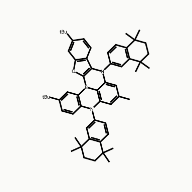 Cc1cc2c3c(c1)N(c1ccc4c(c1)C(C)(C)CCC4(C)C)c1c(oc4cc(C(C)(C)C)ccc14)B3c1cc(C(C)(C)C)ccc1N2c1ccc2c(c1)C(C)(C)CCC2(C)C